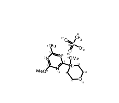 COc1nc(C(C)(C)C)nc([N+]2(OC)CCOCC2)n1.O=S(=O)([O-])C(F)(F)F